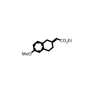 CCOC(=O)/C=C1\CCc2cc(OC)ccc2C1